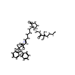 CCCCC(F)(F)C(=O)CC[C@H]1CCC(=O)[C@@H]1CCCC/C=C/C(=O)O[Si](c1ccccc1)(c1ccccc1)C(C)(C)C